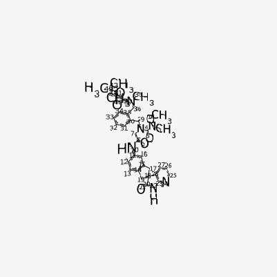 CON(C)C(=O)N(CC(=O)Nc1ccc2c(c1)CC1(C2)C(=O)Nc2ncccc21)Cc1ccccc1CN(C)C(=O)OC(C)(C)C